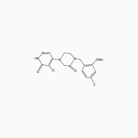 COc1cc(F)ccc1CN1CCN(c2cn[nH]c(=O)c2Cl)CC1=O